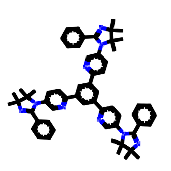 CC1(C)N=C(c2ccccc2)N(c2ccc(-c3cc(-c4ccc(N5C(c6ccccc6)=NC(C)(C)C5(C)C)cn4)cc(-c4ccc(N5C(c6ccccc6)=NC(C)(C)C5(C)C)cn4)c3)nc2)C1(C)C